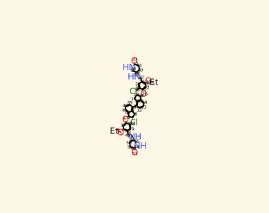 CCOc1cc(O[C@H]2CCc3c(-c4cccc5c4CC[C@@H]5Oc4cc(OCC)c(CN[C@H]5CCC(=O)NC5)cc4Cl)cccc32)c(Cl)cc1CN[C@H]1CCC(=O)NC1